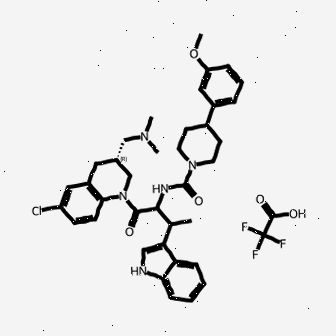 COc1cccc(C2CCN(C(=O)NC(C(=O)N3C[C@@H](CN(C)C)Cc4cc(Cl)ccc43)C(C)c3c[nH]c4ccccc34)CC2)c1.O=C(O)C(F)(F)F